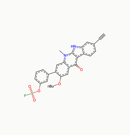 C#Cc1ccc2c(c1)[nH]c1c2c(=O)c2cc(OCCCC)c(-c3cccc(OS(=O)(=O)F)c3)cc2n1C